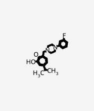 CC(C)c1ccc(CN2CCN(c3cccc(F)c3)CC2)c(=O)c(O)c1